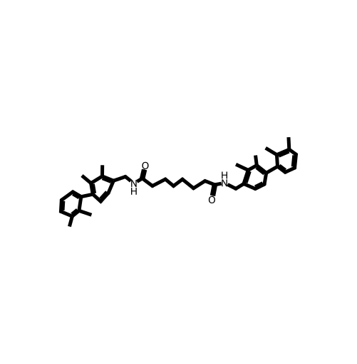 Cc1cccc(-c2ccc(CNC(=O)CCCCCCC(=O)NCc3ccc(-c4cccc(C)c4C)c(C)c3C)c(C)c2C)c1C